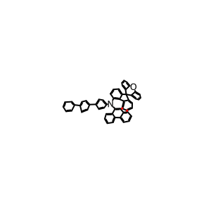 c1ccc(-c2ccc(-c3ccc(N(c4cccc5c4-c4ccccc4C54c5ccccc5Oc5ccccc54)c4cc5ccccc5c5ccccc45)cc3)cc2)cc1